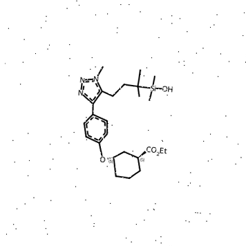 CCOC(=O)[C@H]1CCC[C@H](Oc2ccc(-c3nnn(C)c3CCC(C)(C)[Si](C)(C)O)cc2)C1